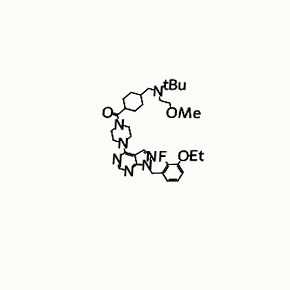 CCOc1cccc(Cn2ncc3c(N4CCN(C(=O)C5CCC(CN(CCOC)C(C)(C)C)CC5)CC4)ncnc32)c1F